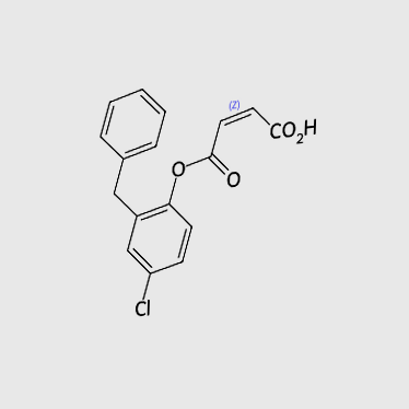 O=C(O)/C=C\C(=O)Oc1ccc(Cl)cc1Cc1ccccc1